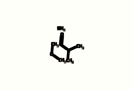 CN(C)C=O.COC.[SiH4]